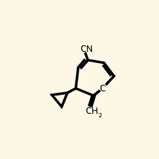 C=C1CC=CC(C#N)=CC1C1CC1